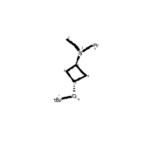 CC(C)N(C)[C@H]1C[C@H](OC(C)(C)C)C1